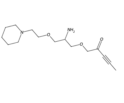 CC#CC(=O)COCC(N)COCCN1CCCCC1